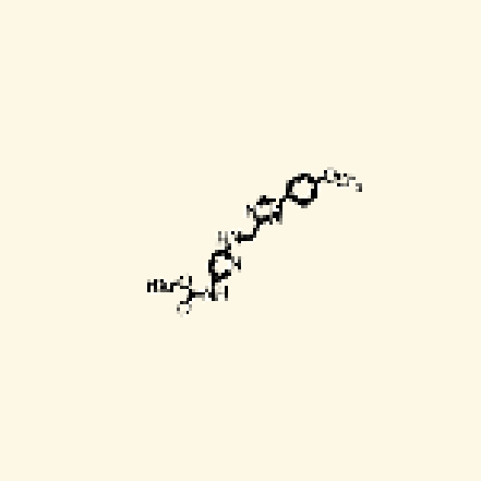 CC(C)(C)OC(=O)Nc1ccc(NCc2ncn(-c3ccc(OC(F)(F)F)cc3)n2)nc1